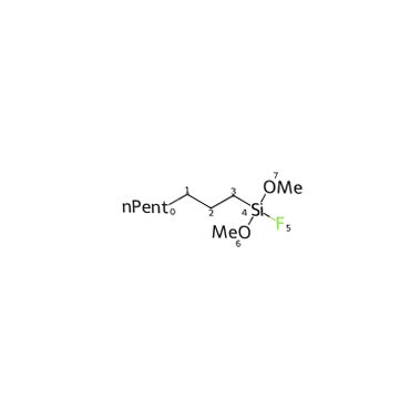 CCCCCCCC[Si](F)(OC)OC